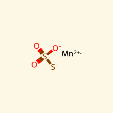 O=S(=O)([O-])[S-].[Mn+2]